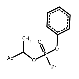 CC(=O)C(C)OP(=O)(Oc1ccccc1)C(C)C